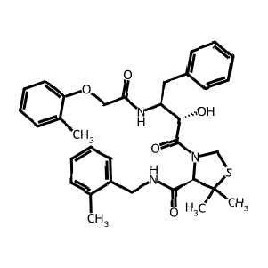 Cc1ccccc1CNC(=O)[C@H]1N(C(=O)[C@@H](O)[C@H](Cc2ccccc2)NC(=O)COc2ccccc2C)CSC1(C)C